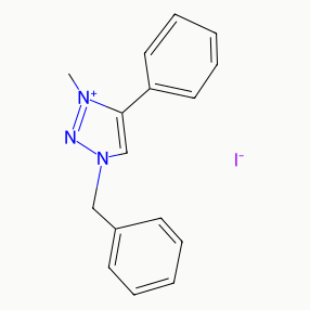 C[n+]1nn(Cc2ccccc2)cc1-c1ccccc1.[I-]